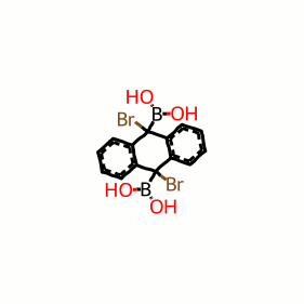 OB(O)C1(Br)c2ccccc2C(Br)(B(O)O)c2ccccc21